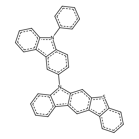 c1ccc(-n2c3ccccc3c3cc(-n4c5ccccc5c5cc6c(cc54)sc4ccccc46)ccc32)cc1